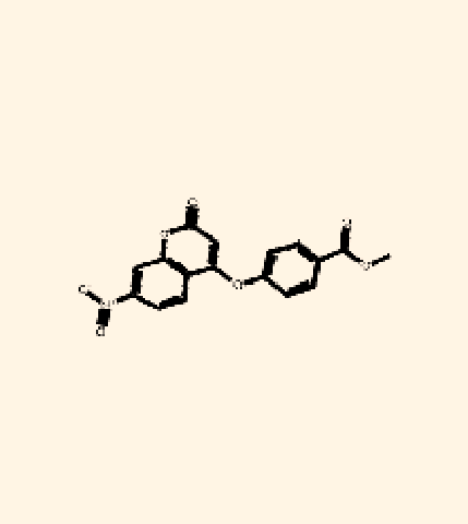 COC(=O)c1ccc(Oc2cc(=O)oc3cc([N+](=O)[O-])ccc23)cc1